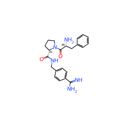 N=C(N)c1ccc(CNC(=O)[C@@H]2CCCN2C(=O)[C@H](N)Cc2ccccc2)cc1